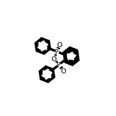 O=P(OP(=O)(c1ccccc1)c1ccccc1)(c1ccccc1)c1ccccc1